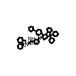 CC1(CN(Cc2ccccc2)NC(N)c2cccc(-n3c4cc(-c5ccccc5)ccc4c4c5c(ccc43)C(c3ccccc3)(c3ccccc3)c3ccccc3-5)c2)C=CC=CC1